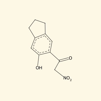 O=C(C[N+](=O)[O-])c1cc2c(cc1O)CCC2